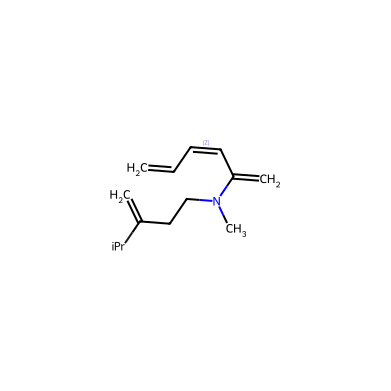 C=C/C=C\C(=C)N(C)CCC(=C)C(C)C